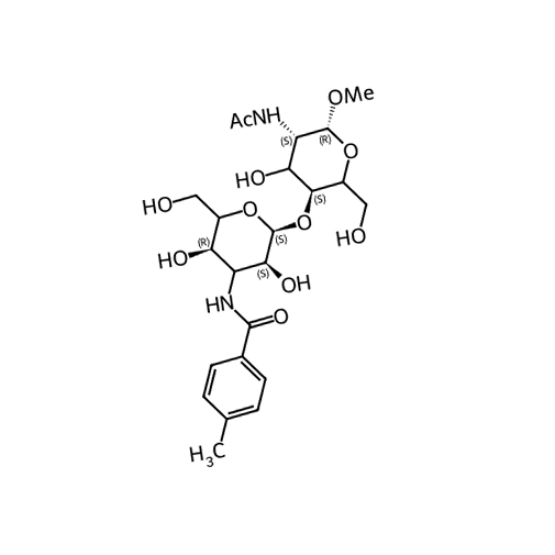 CO[C@@H]1OC(CO)[C@@H](O[C@@H]2OC(CO)[C@H](O)C(NC(=O)c3ccc(C)cc3)[C@@H]2O)C(O)[C@@H]1NC(C)=O